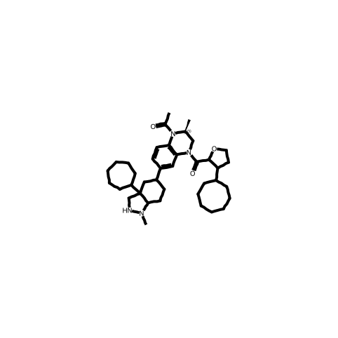 CC(=O)N1c2ccc(C3CCC4N(C)NCC4(C4CCCCCC4)C3)cc2N(C(=O)C2OCCC2C2CCCCCCC2)C[C@@H]1C